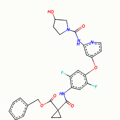 O=C(Nc1cc(Oc2cc(F)c(NC(=O)C3(C(=O)OCc4ccccc4)CC3)cc2F)ccn1)N1CCC(O)C1